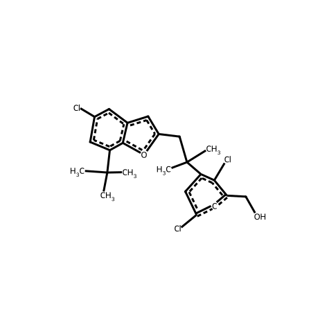 CC(C)(C)c1cc(Cl)cc2cc(CC(C)(C)c3cc(Cl)cc(CO)c3Cl)oc12